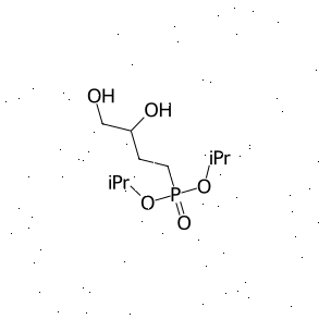 CC(C)OP(=O)(CCC(O)CO)OC(C)C